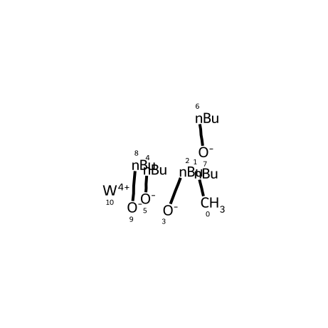 CCCCC.CCCC[O-].CCCC[O-].CCCC[O-].CCCC[O-].[W+4]